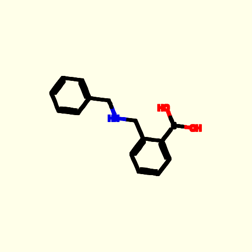 OB(O)c1ccccc1CNCc1ccccc1